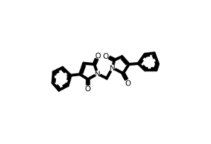 O=C1C=C(c2ccccc2)C(=O)N1CN1C(=O)C=C(c2ccccc2)C1=O